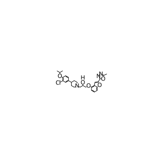 Cc1nnc(-c2cc3c(OCC(O)CN4CCC(c5ccc(OC(C)C)c(Cl)c5)CC4)cccc3o2)o1